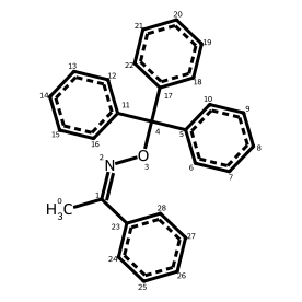 CC(=NOC(c1ccccc1)(c1ccccc1)c1ccccc1)c1ccccc1